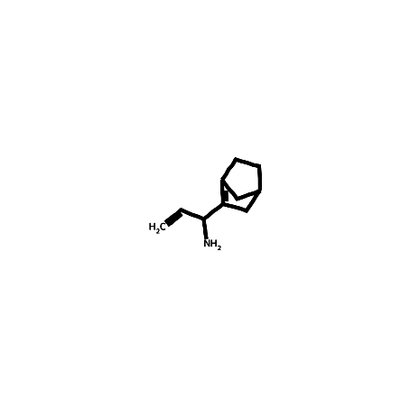 C=CC(N)C1=C2CCC(C2)C1